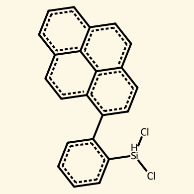 Cl[SiH](Cl)c1ccccc1-c1ccc2ccc3cccc4ccc1c2c34